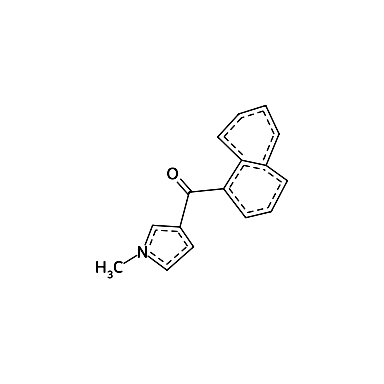 Cn1ccc(C(=O)c2cccc3ccccc23)c1